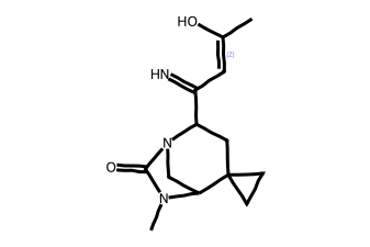 C/C(O)=C/C(=N)C1CC2(CC2)C2CN1C(=O)N2C